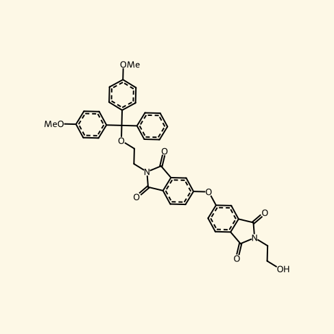 COc1ccc(C(OCCN2C(=O)c3ccc(Oc4ccc5c(c4)C(=O)N(CCO)C5=O)cc3C2=O)(c2ccccc2)c2ccc(OC)cc2)cc1